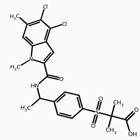 Cc1cc2c(cc(C(=O)NC(C)c3ccc(S(=O)(=O)C(C)(C)C(=O)O)cc3)n2C)c(Cl)c1Cl